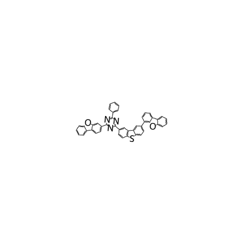 c1ccc(-c2nc(-c3ccc4c(c3)oc3ccccc34)nc(-c3ccc4sc5ccc(-c6cccc7c6oc6ccccc67)cc5c4c3)n2)cc1